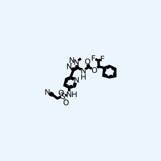 Cn1nnc(-c2ccc(NS(=O)(=O)CC#N)cn2)c1NC(=O)OC(c1ccccc1)C(F)F